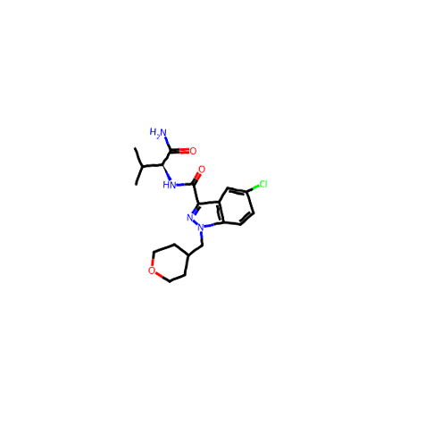 CC(C)[C@H](NC(=O)c1nn(CC2CCOCC2)c2ccc(Cl)cc12)C(N)=O